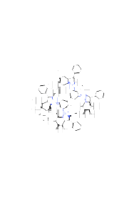 [2H]c1c([2H])c([2H])c2c(c1[2H])C(c1ccccc1)C([2H])N2c1cc(-c2cc(N3c4c([2H])c([2H])c([2H])c([2H])c4C(c4ccccc4)C3[2H])cc(-n3c([2H])c(-c4ccccc4)c4c([2H])c([2H])c([2H])c([2H])c43)c2)cc(-n2c([2H])c(-c3ccccc3)c3c([2H])c([2H])c([2H])c([2H])c32)c1